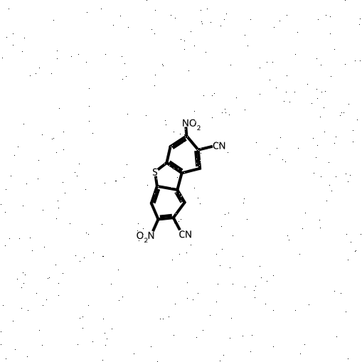 N#Cc1cc2c(cc1[N+](=O)[O-])sc1cc([N+](=O)[O-])c(C#N)cc12